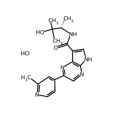 Cc1cc(-c2cnc3[nH]cc(C(=O)N[C@@H](C)C(C)(C)O)c3n2)ccn1.Cl